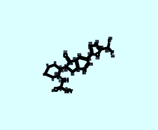 CCCC(=O)N[C@@H]1CCCC[C@H]1N1Cc2ncc(-c3nnc(C(F)F)o3)cc2C1=O